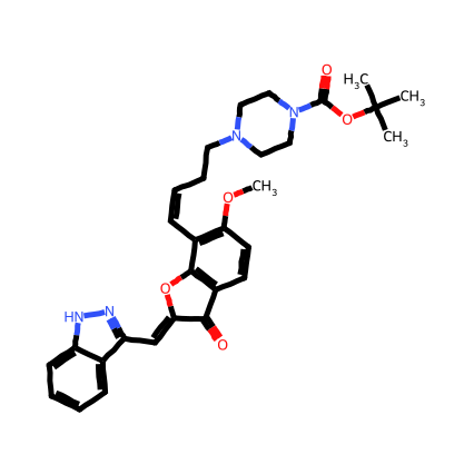 COc1ccc2c(c1/C=C\CCN1CCN(C(=O)OC(C)(C)C)CC1)O/C(=C\c1n[nH]c3ccccc13)C2=O